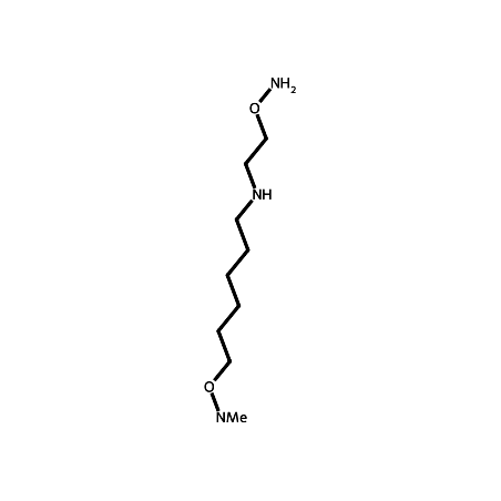 CNOCCCCCCNCCON